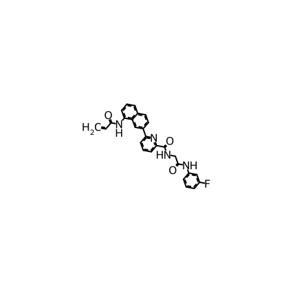 C=CC(=O)Nc1cccc2ccc(-c3cccc(C(=O)NCC(=O)Nc4cccc(F)c4)n3)cc12